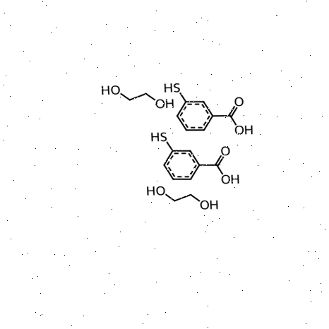 O=C(O)c1cccc(S)c1.O=C(O)c1cccc(S)c1.OCCO.OCCO